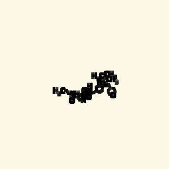 C=CCNC(=O)c1cnn(S(=O)(=O)NCc2ccc3c(c2)nc(C(C)(C)C)n3CC2CCOCC2)c1